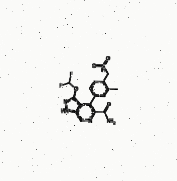 Cc1cc(-c2c(C(N)=O)ncc3[nH]nc(OC(F)F)c23)ccc1C[SH](=O)=O